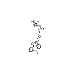 C[C@@H](NC(=O)OC(C)(C)C)C(=O)OCCOCCNc1cccc2c1C(=O)c1ccccc1C2=O